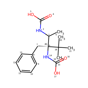 CC(NC(=O)O)[C@](Cc1ccccc1)(NC(=O)O)C(C)(C)C